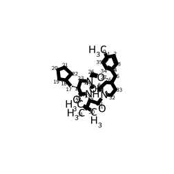 Cc1ccc(CC2CCN(C(=O)[C@@H](NC(=O)[C@H](CC3CCCC3)CN(O)C=O)C(C)(C)C)CC2)cc1